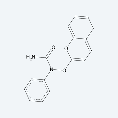 NC(=O)N(OC1=CC=C2CC=CC=C2O1)c1ccccc1